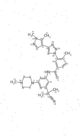 Cc1ccc(C(=O)Nc2cc(N3CCN(C)CC3)cc(C(C)(C)C#N)c2)cc1-n1cc(-c2cnn(C)c2C)nn1